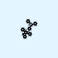 CC1(C)c2ccccc2-c2c1c1c3ccccc3oc1c1c2c2ccccc2n1-c1ccc(-c2cc(-c3ccccc3)nc(-c3ccccc3)n2)cc1